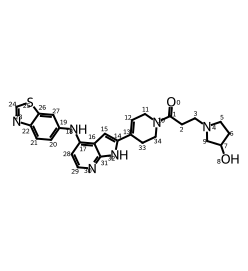 O=C(CCN1CCC(O)C1)N1CC=C(c2cc3c(Nc4ccc5ncsc5c4)ccnc3[nH]2)CC1